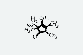 CC1=C(C)C(C)(C)C(Cl)=C1C.[Ru]